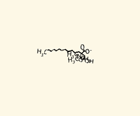 CCCCCCCCCCCCC(CC(=O)O)(C(=O)[O-])[N+](C)(C)C